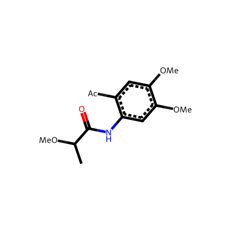 COc1cc(NC(=O)C(C)OC)c(C(C)=O)cc1OC